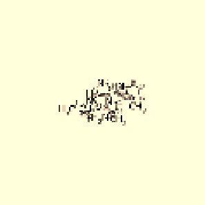 CCC(NC(=O)c1cncc(-c2nc3c(C)cccc3[nH]2)c1N1CC[C@](C)(N)C1)C(F)(F)F